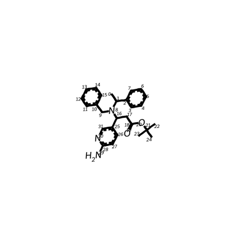 CC(c1ccccc1)N(Cc1ccccc1)C(CC(=O)OC(C)(C)C)c1ccc(N)nc1